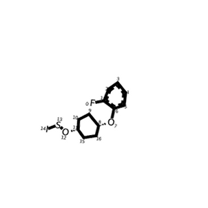 Fc1ccccc1O[C@H]1CC[C@@H](OSI)CC1